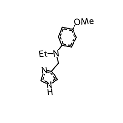 CCN(Cc1c[nH]cn1)c1ccc(OC)cc1